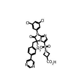 CC1(Cc2ccc(-c3cncnc3)cc2)C(=O)N(c2cc(Cl)cc(Cl)c2)c2ncc(S(=O)(=O)N3CC(C(=O)O)C3)n21